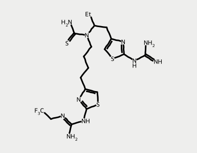 CCC(Cc1csc(NC(=N)N)n1)N(CCCCc1csc(NC(N)=NCC(F)(F)F)n1)C(N)=S